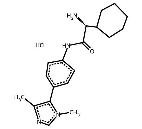 Cc1ncn(C)c1-c1ccc(NC(=O)[C@@H](N)C2CCCCC2)cc1.Cl